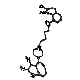 [2H]C1Sc2cccc(N3CCN(CCCCOc4cccc5ccc(=O)[nH]c45)CC3)c2C1[2H]